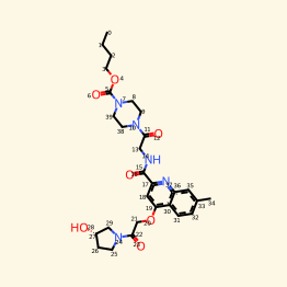 CCCCOC(=O)N1CCN(C(=O)CNC(=O)c2cc(OCC(=O)N3CC[C@H](O)C3)c3ccc(C)cc3n2)CC1